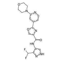 O=C(Nc1c[nH]nc1C(F)F)c1coc(-c2ccnc(N3CCOCC3)c2)n1